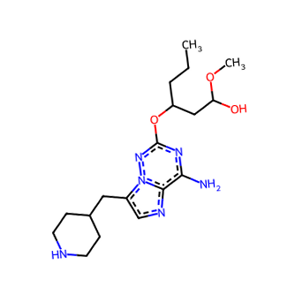 CCCC(CC(O)OC)Oc1nc(N)c2ncc(CC3CCNCC3)n2n1